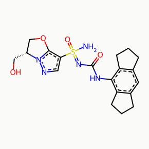 NS(=O)(=NC(=O)Nc1c2c(cc3c1CCC3)CCC2)c1cnn2c1OC[C@H]2CO